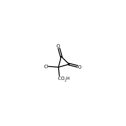 O=C(O)C1(Cl)C(=O)C1=O